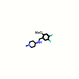 COc1cc(F)c(F)cc1CNC1CCN(C)CC1